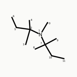 [CH2]N(C(C)(C)CC)C(C)(C)CC